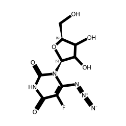 [N-]=[N+]=Nc1c(F)c(=O)[nH]c(=O)n1[C@H]1O[C@@H](CO)C(O)C1O